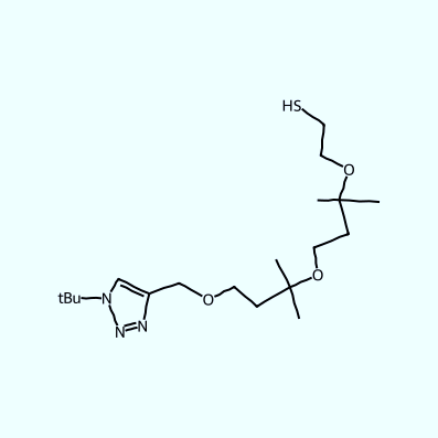 CC(C)(CCOCc1cn(C(C)(C)C)nn1)OCCC(C)(C)OCCS